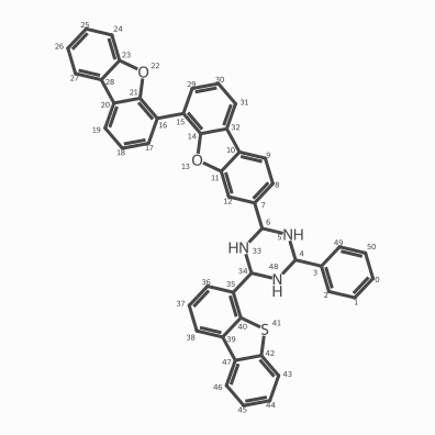 c1ccc(C2NC(c3ccc4c(c3)oc3c(-c5cccc6c5oc5ccccc56)cccc34)NC(c3cccc4c3sc3ccccc34)N2)cc1